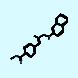 COC(=O)c1ccc(C=C(C)CNc2ccc3ccccc3c2)cc1